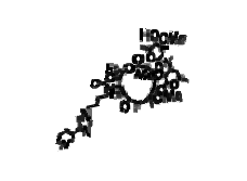 CC[C@H]1OC(=O)[C@H](C)[C@@H](O[C@H]2C[C@@](C)(OC)[C@@H](O)[C@H](C)O2)[C@H](C)[C@@H](O[C@@H]2O[C@H](C)C[C@H](N(C)C)[C@H]2OC)[C@@](C)(OC)C[C@@H](C)C(=O)[C@H](C)[C@H]2N(CCCCn3cnc(-c4cccnc4)c3)C(=O)O[C@]12C